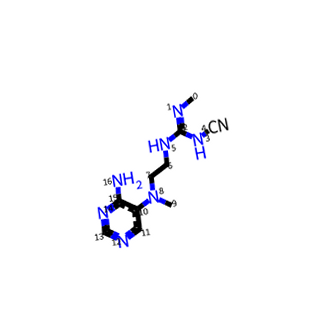 CN=C(NC#N)NCCN(C)c1cncnc1N